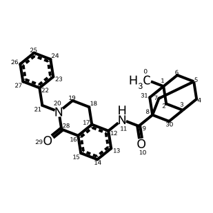 CC12CC3CC(C1)CC(C(=O)Nc1cccc4c1CCN(Cc1ccccc1)C4=O)(C3)C2